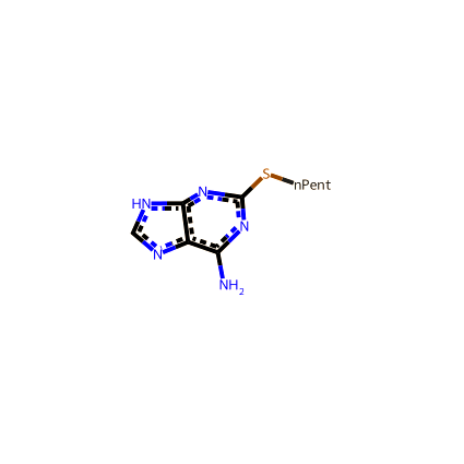 CCCCCSc1nc(N)c2nc[nH]c2n1